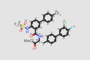 COC(=O)[C@@H](Cc1ccc(-c2ccc(F)c(Cl)c2)cc1)NC(=O)c1cc(-c2ccc(C(F)(F)F)cc2)ccc1NS(=O)(=O)C(F)(F)F